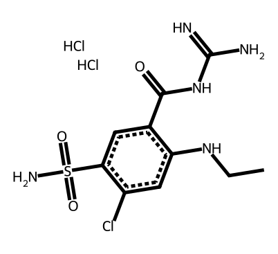 CCNc1cc(Cl)c(S(N)(=O)=O)cc1C(=O)NC(=N)N.Cl.Cl